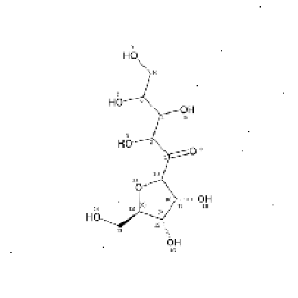 O=C(C(O)C(O)C(O)CO)C1O[C@H](CO)[C@@H](O)[C@H]1O